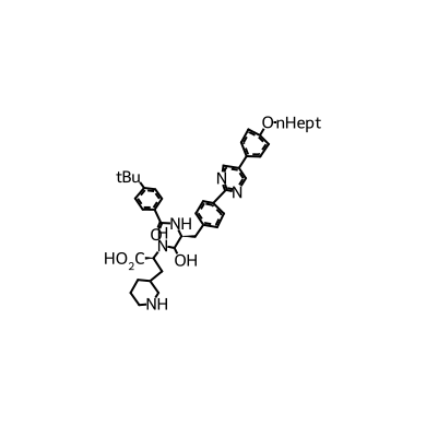 CCCCCCCOc1ccc(-c2cnc(-c3ccc(C[C@H](NC(=O)c4ccc(C(C)(C)C)cc4)C(O)N[C@@H](CC4CCCNC4)C(=O)O)cc3)nc2)cc1